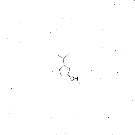 CC(C)C1CC[C@H](O)C1